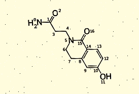 NC(=O)CCN1CCc2cc(O)ccc2C1=O